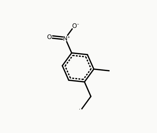 [CH2]Cc1ccc([N+](=O)[O-])cc1C